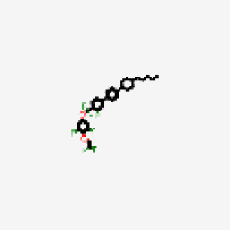 CCCCCC1CCC(c2ccc(-c3ccc(C(F)(F)Oc4cc(F)c(OC=C(F)F)c(F)c4)c(F)c3)cc2)CC1